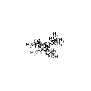 CCCCC1=C(P(=O)(OCOC(=O)C(C)(C)C)OCOC(=O)C(C)(C)C)N[C@H](C(=O)O)CS1